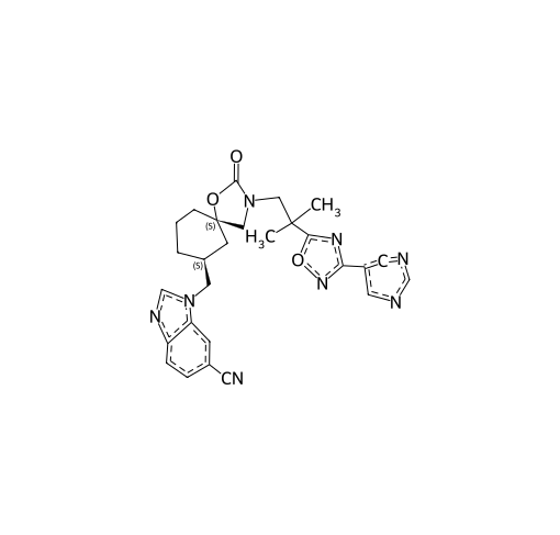 CC(C)(CN1C[C@@]2(CCC[C@H](Cn3cnc4ccc(C#N)cc43)C2)OC1=O)c1nc(-c2cncnc2)no1